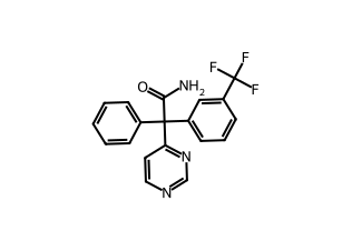 NC(=O)C(c1ccccc1)(c1cccc(C(F)(F)F)c1)c1ccncn1